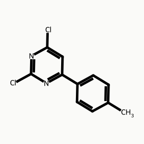 Cc1ccc(-c2cc(Cl)nc(Cl)n2)cc1